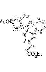 CCOC(=O)C=Cc1ccc(C2=C(c3ccccc3)CCc3cc(OC)ccc32)cc1